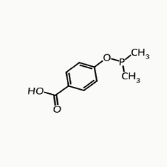 CP(C)Oc1ccc(C(=O)O)cc1